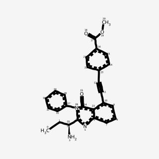 CC[C@H](N)c1nc2cccc(C#Cc3ccc(C(=O)OC)cc3)c2c(=O)n1-c1ccccc1